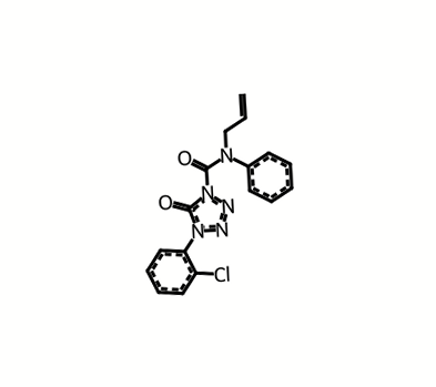 C=CCN(C(=O)n1nnn(-c2ccccc2Cl)c1=O)c1ccccc1